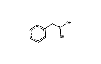 ON(S)Cc1ccccc1